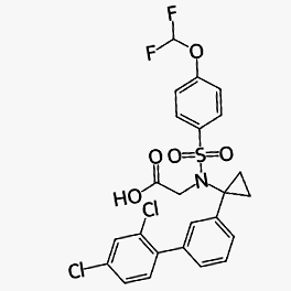 O=C(O)CN(C1(c2cccc(-c3ccc(Cl)cc3Cl)c2)CC1)S(=O)(=O)c1ccc(OC(F)F)cc1